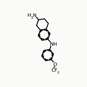 NC1CCc2cc(Nc3cccc(OC(F)(F)F)c3)ccc2C1